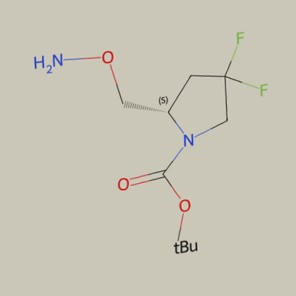 CC(C)(C)OC(=O)N1CC(F)(F)C[C@H]1CON